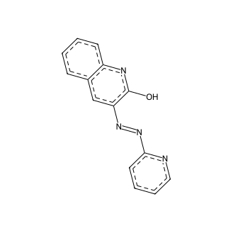 Oc1nc2ccccc2cc1/N=N/c1ccccn1